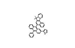 CC1(C)c2cc(-c3c4ccccc4c(-c4ccccc4)c4ccc(-c5cccs5)cc34)c3ccccc3c2C2C=CC=CC21